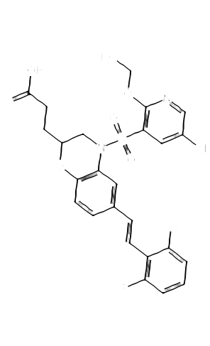 CCOc1ncc(Cl)cc1S(=O)(=O)N1CC(CCC(=O)O)Oc2ccc(C=Cc3c(F)cccc3Cl)cc21